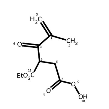 C=C(C)C(=O)C(CC(=O)OO)C(=O)OCC